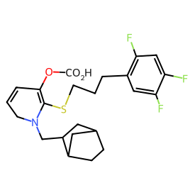 O=C(O)OC1=C(SCCCc2cc(F)c(F)cc2F)N(CC2CC3CCC2C3)CC=C1